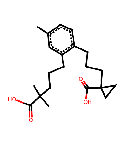 Cc1ccc(CCCC2(C(=O)O)CC2)c(CCCC(C)(C)C(=O)O)c1